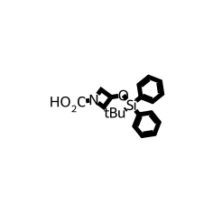 CC(C)(C)[Si](OC1CN(C(=O)O)C1)(c1ccccc1)c1ccccc1